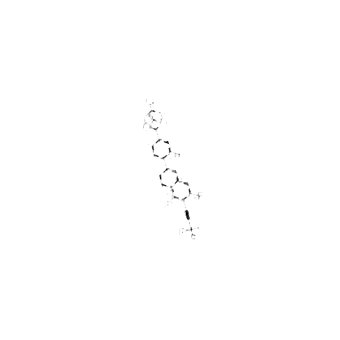 CC12COC(c3ccc(-c4ccc5c(F)c(C#CC(F)(F)F)c(F)cc5c4)c(F)c3)(OC1)OC2